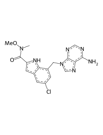 CON(C)C(=O)c1cc2cc(Cl)cc(Cn3cnc4c(N)ncnc43)c2[nH]1